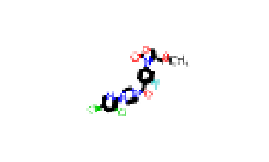 COC[C@@H]1COC(=O)N1c1ccc(C(=O)N2CCN(c3ncc(Cl)cc3Cl)CC2)c(F)c1